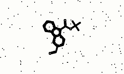 CC(C)(C)OC(=O)n1c2ccccc2c2cc(C=O)ccc21